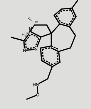 CONCc1ccc2c(c1)CCc1cc(C)ccc1C2(C[C@@H](C)N)c1nnc(C)[nH]1